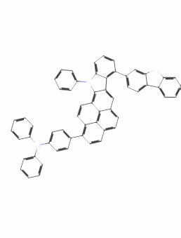 c1ccc(N(c2ccccc2)c2ccc(-c3ccc4ccc5cc6c7c(-c8ccc9c(c8)sc8ccccc89)cccc7n(-c7ccccc7)c6c6ccc3c4c56)cc2)cc1